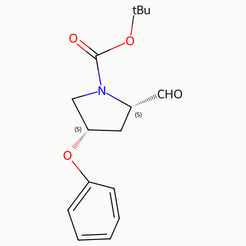 CC(C)(C)OC(=O)N1C[C@@H](Oc2ccccc2)C[C@H]1C=O